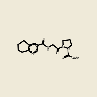 COC(=O)[C@@H]1CCCN1C(=O)CNC(=O)c1cnc2c(c1)CCCC2